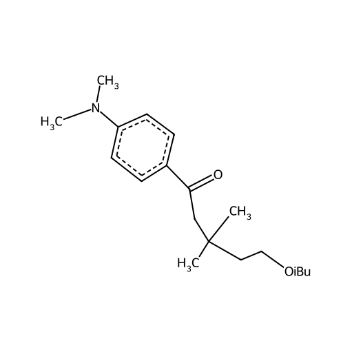 CC(C)COCCC(C)(C)CC(=O)c1ccc(N(C)C)cc1